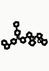 c1ccc(-c2ccc(N(c3ccc(-c4cccc5ccccc45)cc3)c3cccc(-c4cccc5c4c4ccccc4n5-c4cccc5c4oc4ccccc45)c3)cc2)cc1